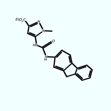 CCOC(=O)c1cc(NC(=O)Nc2ccc3c(c2)Cc2ccccc2-3)n(C)n1